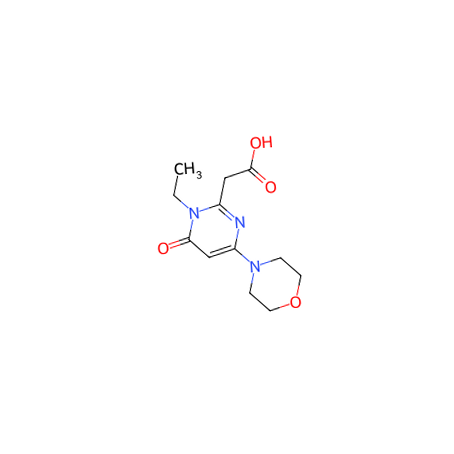 CCn1c(CC(=O)O)nc(N2CCOCC2)cc1=O